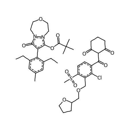 CCc1cc(C)cc(CC)c1-c1c(OC(=O)C(C)(C)C)n2n(c1=O)CCOCC2.CS(=O)(=O)c1ccc(C(=O)C2C(=O)CCCC2=O)c(Cl)c1COCC1CCCO1